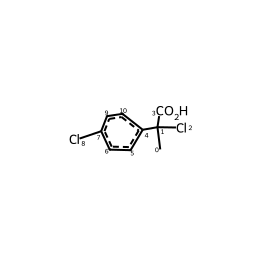 CC(Cl)(C(=O)O)c1ccc(Cl)cc1